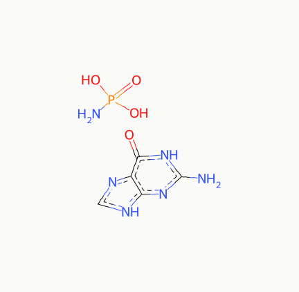 NP(=O)(O)O.Nc1nc2[nH]cnc2c(=O)[nH]1